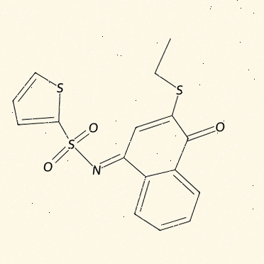 CCSC1=CC(=NS(=O)(=O)c2cccs2)c2ccccc2C1=O